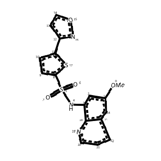 COc1cc(NS(=O)(=O)c2ccc(-c3ccon3)s2)c2ncccc2c1